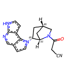 N#CCC(=O)N1C[C@H]2C[C@@H](n3ccc4cnc5[nH]ccc5c43)[C@@H]1C2